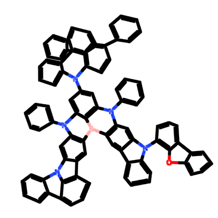 c1ccc(-c2ccc(N(c3cc4c5c(c3)N(c3ccccc3)c3cc6c(cc3B5c3cc5c7ccccc7n(-c7cccc8c7oc7ccccc78)c5cc3N4c3ccccc3)c3cccc4c5ccccc5n6c43)c3ccccc3-c3ccccc3)c(-c3ccccc3)c2)cc1